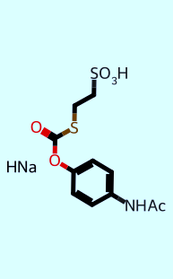 CC(=O)Nc1ccc(OC(=O)SCCS(=O)(=O)O)cc1.[NaH]